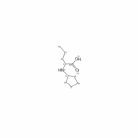 CCCC(NC1CCCC1)C(=O)O